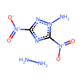 NN.Nn1nc([N+](=O)[O-])nc1[N+](=O)[O-]